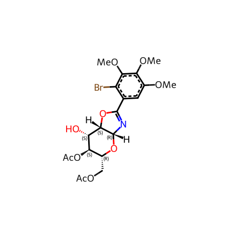 COc1cc(C2=N[C@@H]3O[C@H](COC(C)=O)[C@@H](OC(C)=O)[C@H](O)[C@@H]3O2)c(Br)c(OC)c1OC